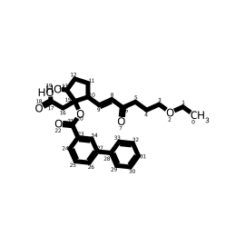 CCOCCCC(=O)C=CC1CCC(O)C1(CC(=O)O)OC(=O)c1cccc(-c2ccccc2)c1